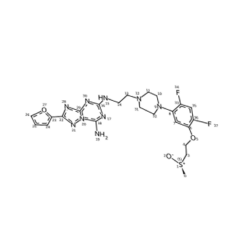 C[S@@+]([O-])CCOc1cc(N2CCN(CCNc3nc(N)n4nc(-c5ccco5)nc4n3)CC2)c(F)cc1F